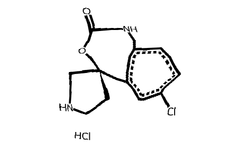 Cl.O=C1Nc2ccc(Cl)cc2[C@@]2(CCNC2)O1